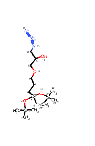 C[Si](C)(C)O[Si](C)(CCCOCC(O)CN=[N+]=[N-])O[Si](C)(C)C